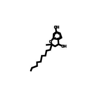 CCCCCCCCCC1(C)CC(O)c2ccc(O)cc2O1